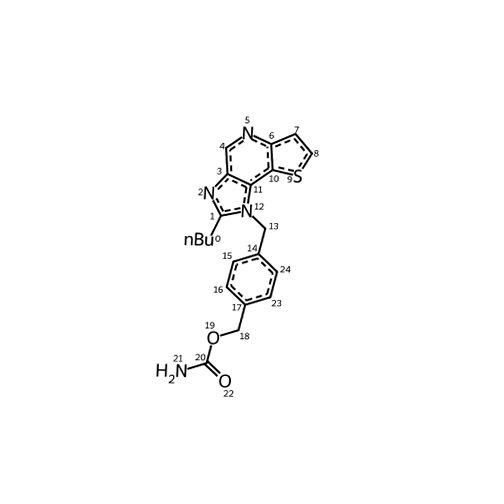 CCCCc1nc2cnc3ccsc3c2n1Cc1ccc(COC(N)=O)cc1